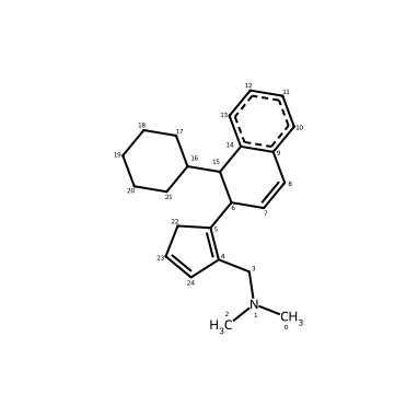 CN(C)CC1=C(C2C=Cc3ccccc3C2C2CCCCC2)CC=C1